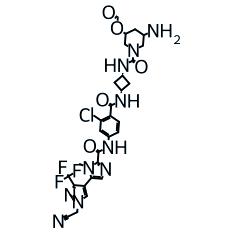 Cn1c(-c2cn(CC#N)nc2C(F)(F)F)cnc1C(=O)Nc1ccc(C(=O)N[C@H]2C[C@@H](NC(=O)N3CC(N)CC(OC=O)C3)C2)c(Cl)c1